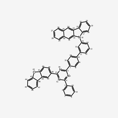 c1ccc(-c2nc(-c3ccc(-c4cccc(-n5c6ccccc6c6cc7ccccc7cc65)c4)cc3)nc(-c3ccc4oc5ccccc5c4c3)n2)cc1